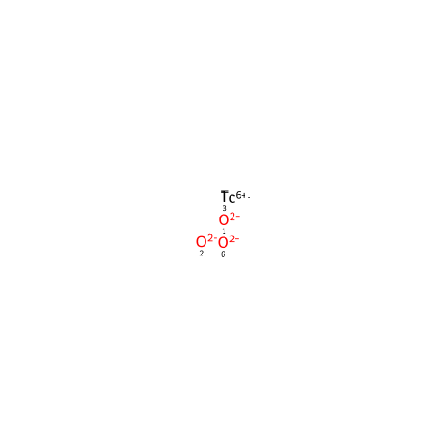 [O-2].[O-2].[O-2].[Tc+6]